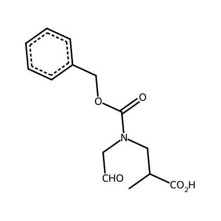 CC(CN(CC=O)C(=O)OCc1ccccc1)C(=O)O